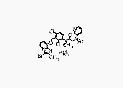 CC(=O)N(CC(=O)N(C)c1ccc(Cl)c(COc2cccn3c(Br)c(C)nc23)c1Cl)c1cccnc1.Cl.Cl